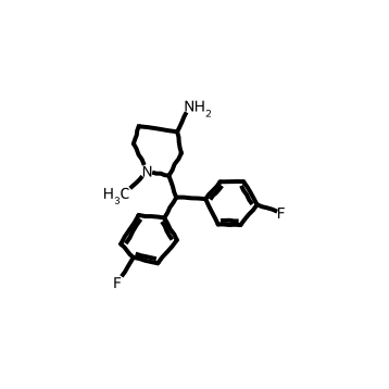 CN1CCC(N)CC1C(c1ccc(F)cc1)c1ccc(F)cc1